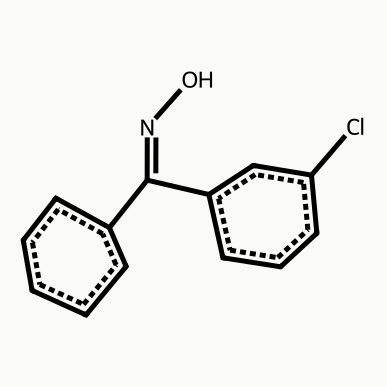 ON=C(c1ccccc1)c1cccc(Cl)c1